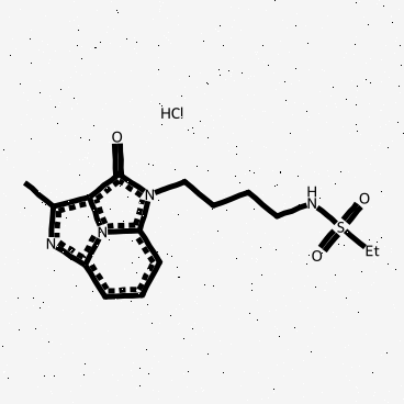 CCS(=O)(=O)NCCCCn1c(=O)c2c(C)nc3cccc1n32.Cl